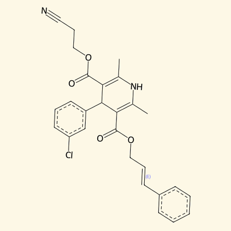 CC1=C(C(=O)OC/C=C/c2ccccc2)C(c2cccc(Cl)c2)C(C(=O)OCCC#N)=C(C)N1